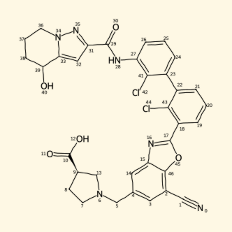 N#Cc1cc(CN2CC[C@@H](C(=O)O)C2)cc2nc(-c3cccc(-c4cccc(NC(=O)c5cc6n(n5)CCCC6O)c4Cl)c3Cl)oc12